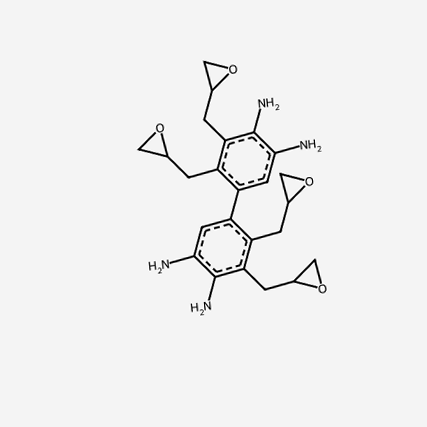 Nc1cc(-c2cc(N)c(N)c(CC3CO3)c2CC2CO2)c(CC2CO2)c(CC2CO2)c1N